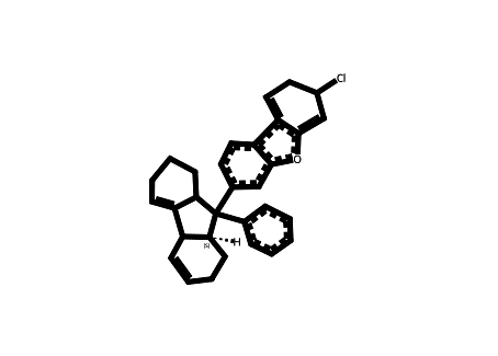 ClC1C=c2oc3cc(C4(c5ccccc5)C5CCCC=C5C5C=CCC[C@@H]54)ccc3c2=CC1